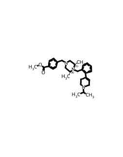 COC(=O)c1ccc(CN2C[C@@H](C)N(Cc3ccccc3C3=CCN(C(C)C)CC3)[C@@H](C)C2)cc1